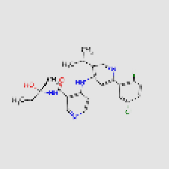 CC[C@](C)(O)NC(=O)c1cnccc1Nc1cc(-c2cc(Cl)ccc2F)ncc1C(C)C